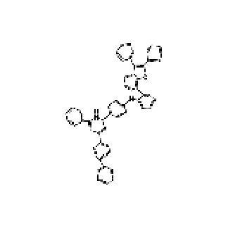 C1=C(c2ccc(-c3ccccc3)cc2)C=C(c2ccccc2)NC1c1ccc(-n2c3ccccc3c3c4sc(-c5ccccc5)c(-c5ccccc5)c4ccc32)cc1